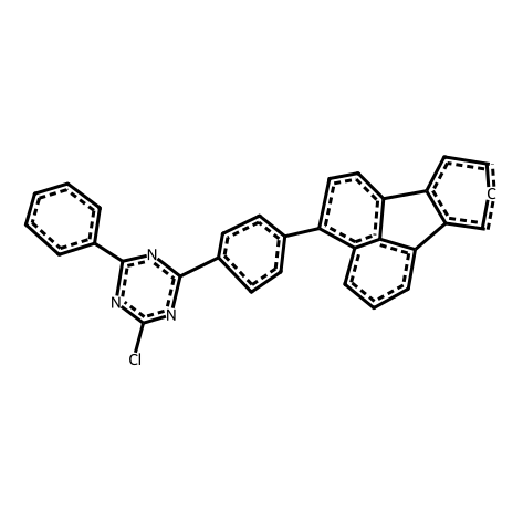 Clc1nc(-c2ccccc2)nc(-c2ccc(-c3ccc4c5c(cccc35)-c3ccccc3-4)cc2)n1